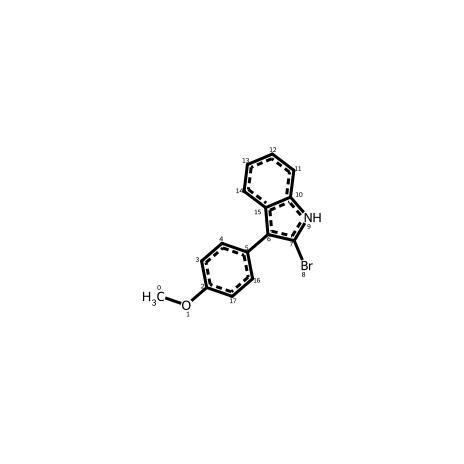 COc1ccc(-c2c(Br)[nH]c3ccccc23)cc1